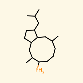 CC(C)CC1CCC2CC(C)C(P)CCCC(C)CC12